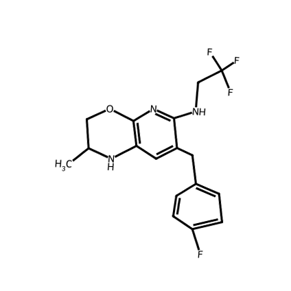 CC1COc2nc(NCC(F)(F)F)c(Cc3ccc(F)cc3)cc2N1